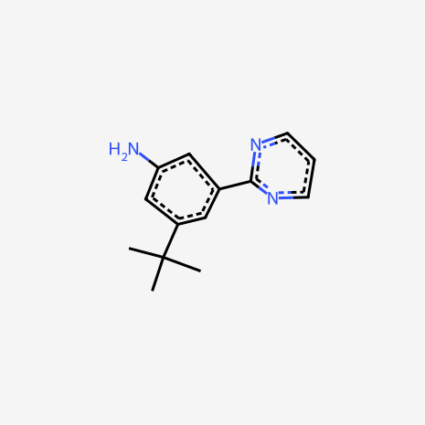 CC(C)(C)c1cc(N)cc(-c2ncccn2)c1